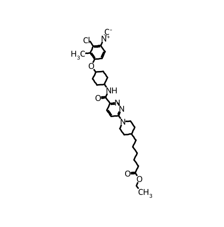 [C-]#[N+]c1ccc(OC2CCC(NC(=O)c3ccc(N4CCC(CCCCCC(=O)OCC)CC4)nn3)CC2)c(C)c1Cl